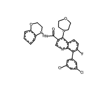 O=C(NN1CCOc2ccccc21)c1cnc2c(-c3cc(Cl)cc(Cl)c3)c(F)ccc2c1N1CCOCC1